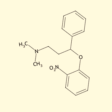 CN(C)CCC(Oc1ccccc1[N+](=O)[O-])c1ccccc1